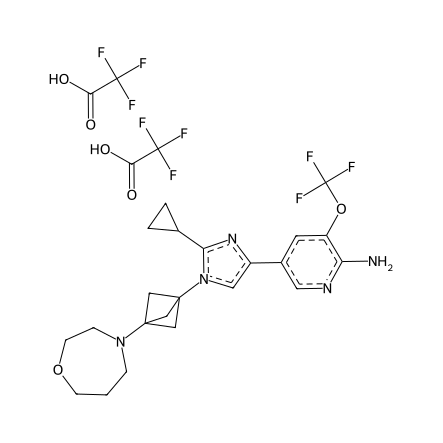 Nc1ncc(-c2cn(C34CC(N5CCCOCC5)(C3)C4)c(C3CC3)n2)cc1OC(F)(F)F.O=C(O)C(F)(F)F.O=C(O)C(F)(F)F